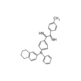 Cc1ccc(C(=N)C(=N)c2ccc(N(c3ccccc3)c3ccc4c(c3)CCCC4)cc2)cc1